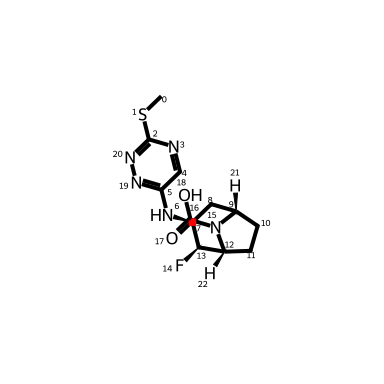 CSc1ncc(N[C@H]2C[C@@H]3CC[C@H]([C@H]2F)N3C(=O)O)nn1